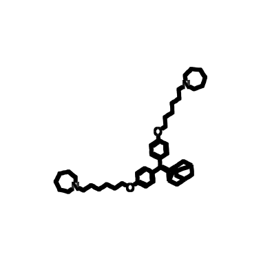 c1cc(C(=C2C3CC4CC(C3)CC2C4)c2ccc(OCCCCCCN3CCCCCC3)cc2)ccc1OCCCCCCN1CCCCCC1